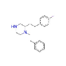 Ic1ccc(CCC2CNCCN2CCc2ccccc2)cc1